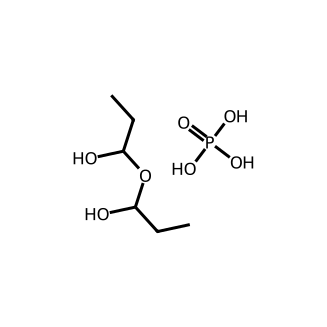 CCC(O)OC(O)CC.O=P(O)(O)O